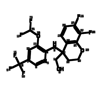 OCC1(Nc2ncc(C(F)(F)F)cc2OC(F)F)CCOc2c1ccc(F)c2F